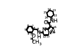 CCOc1ccccc1CNc1ccn2ncc(C(=O)NC3CCCCC3)c2n1